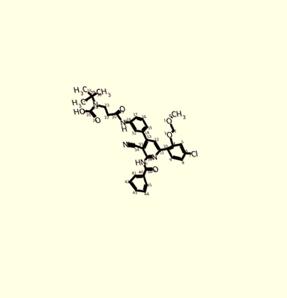 COCOc1cc(Cl)ccc1-c1cc(-c2cccc(NC(=O)CCN(C(=O)O)C(C)(C)C)c2)c(C#N)c(NC(=O)c2ccccc2)n1